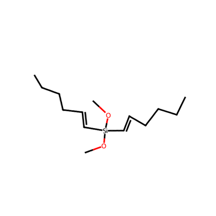 CCCCC=C[Si](C=CCCCC)(OC)OC